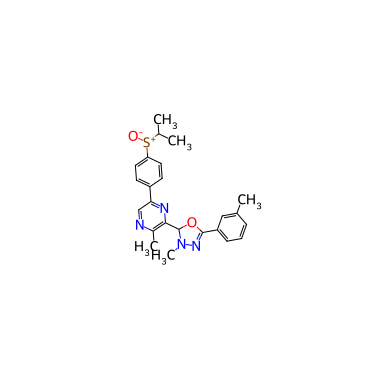 Cc1cccc(C2=NN(C)C(c3nc(-c4ccc([S+]([O-])C(C)C)cc4)cnc3C)O2)c1